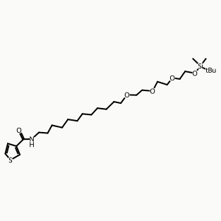 CC(C)(C)[Si](C)(C)OCCOCCOCCOCCCCCCCCCCCCNC(=O)c1ccsc1